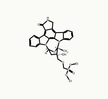 CCOP(=O)(COC[C@@]1(O)C[C@H]2O[C@]1(C)n1c3ccccc3c3c4c(c5c6ccccc6n2c5c31)C(=O)NC4)OCC